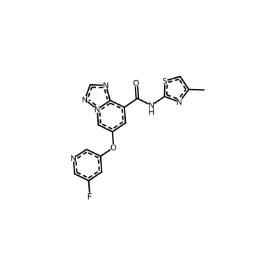 Cc1csc(NC(=O)c2cc(Oc3cncc(F)c3)cn3ncnc23)n1